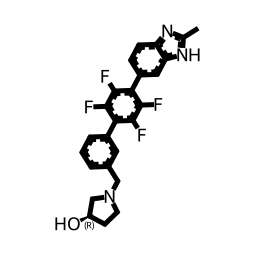 Cc1nc2ccc(-c3c(F)c(F)c(-c4cccc(CN5CC[C@@H](O)C5)c4)c(F)c3F)cc2[nH]1